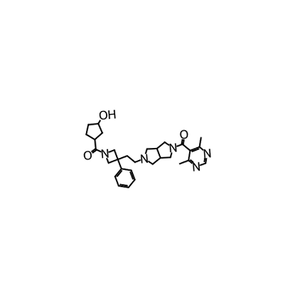 Cc1ncnc(C)c1C(=O)N1CC2CN(CCC3(c4ccccc4)CN(C(=O)C4CCC(O)C4)C3)CC2C1